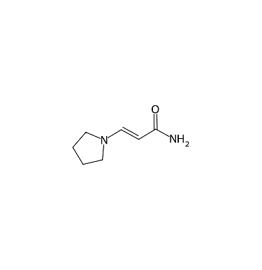 NC(=O)C=CN1CCCC1